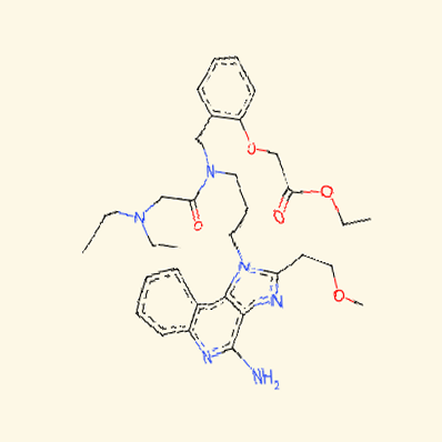 CCOC(=O)COc1ccccc1CN(CCCn1c(CCOC)nc2c(N)nc3ccccc3c21)C(=O)CN(CC)CC